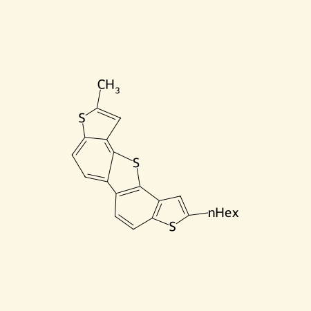 CCCCCCc1cc2c(ccc3c4ccc5sc(C)cc5c4sc23)s1